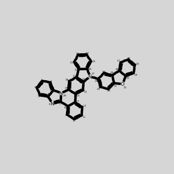 c1ccc2c(c1)nc1c3ccccc3c3cc4c(cc3n21)c1ccccc1n4-c1ccc2oc3ccccc3c2c1